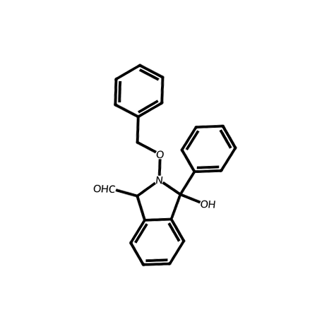 O=CC1c2ccccc2C(O)(c2ccccc2)N1OCc1ccccc1